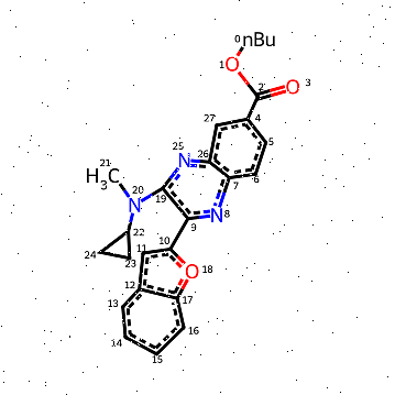 CCCCOC(=O)c1ccc2nc(-c3cc4ccccc4o3)c(N(C)C3CC3)nc2c1